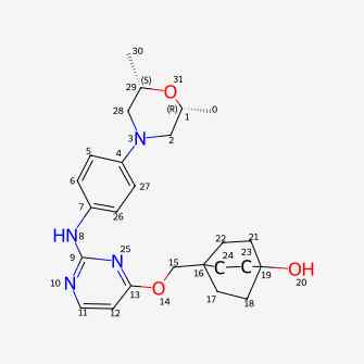 C[C@@H]1CN(c2ccc(Nc3nccc(OCC45CCC(O)(CC4)CC5)n3)cc2)C[C@H](C)O1